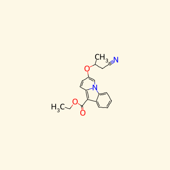 CCOC(=O)c1c2ccccc2n2cc(OC(C)CC#N)ccc12